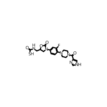 O=C(S)NCC1CN(c2ccc(N3CCN(C(=O)c4c[nH]cn4)CC3)c(F)c2)C(=O)O1